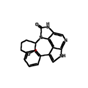 O=c1[nH]c2cnc3[nH]cc(-c4ccccc4)c3c2n1C1CCCOC1